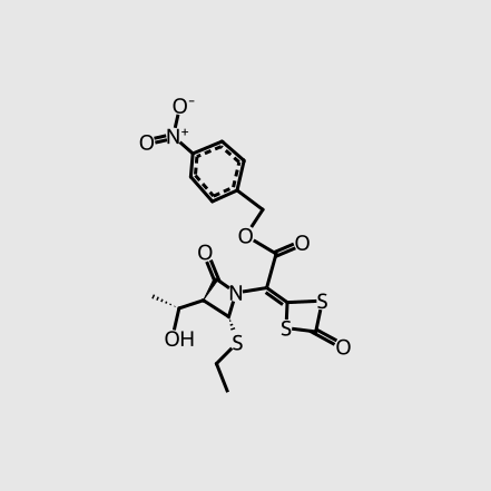 CCS[C@@H]1[C@@H]([C@@H](C)O)C(=O)N1C(C(=O)OCc1ccc([N+](=O)[O-])cc1)=C1SC(=O)S1